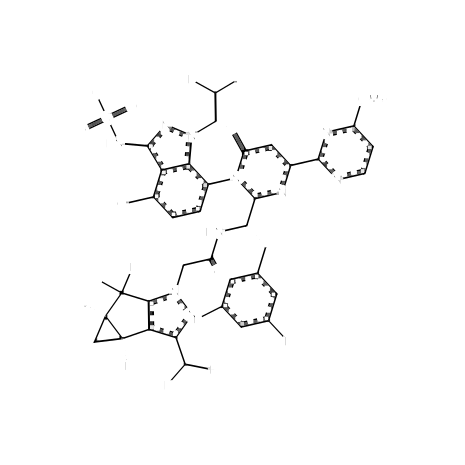 COc1ccnc(-c2cc(=O)n(-c3ccc(Cl)c4c(NS(C)(=O)=O)nn(CC(F)F)c34)c([C@H](Cc3cc(F)cc(F)c3)NC(=O)Cn3nc(C(F)F)c4c3C(F)(F)[C@@H]3C[C@H]43)n2)n1